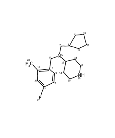 Fc1ccc(CN(CC2CCCC2)C2CCNCC2)c(C(F)(F)F)c1